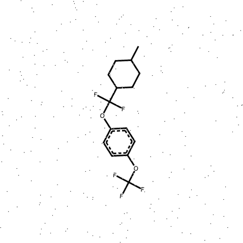 CC1CCC(C(F)(F)Oc2ccc(OC(F)(F)F)cc2)CC1